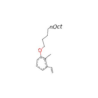 C=Cc1cccc(OCCCCCCCCCCCC)c1C